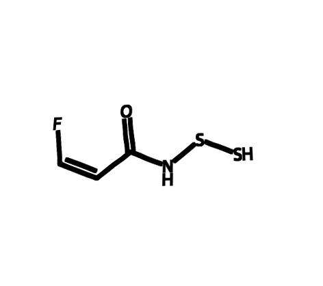 O=C(/C=C\F)NSS